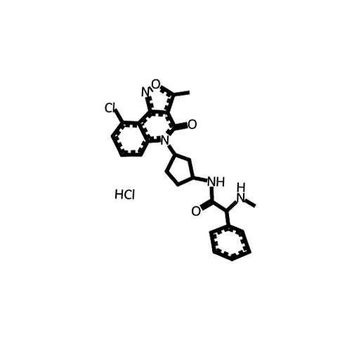 CNC(C(=O)NC1CCC(n2c(=O)c3c(C)onc3c3c(Cl)cccc32)C1)c1ccccc1.Cl